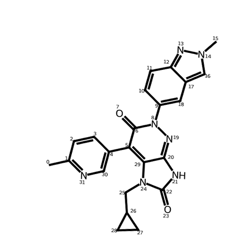 Cc1ccc(-c2c(=O)n(-c3ccc4nn(C)cc4c3)nc3[nH]c(=O)n(CC4CC4)c23)cn1